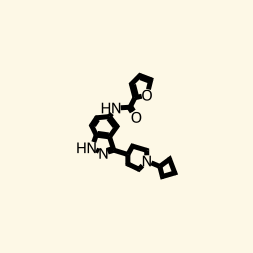 O=C(Nc1ccc2[nH]nc(C3CCN(C4CCC4)CC3)c2c1)c1ccco1